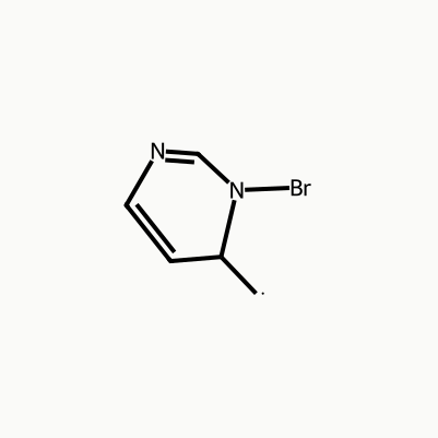 [CH2]C1C=CN=CN1Br